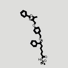 Cc1oc(-c2ccccc2)nc1COc1ccc(CON=C(CCCCC(=O)NS(C)(=O)=O)c2ccccc2)cc1